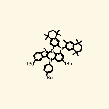 Cc1cc2c(cc1N1c3cc4c(cc3B3c5oc6ccc(C(C)(C)C)cc6c5N(C5C=CC(C(C)(C)C)=CC5)c5cc(C(C)(C)C)cc1c53)C(C)(C)CCC4(C)C)C(C)(C)CCC2(C)C